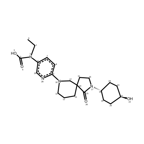 CCN(C(=O)O)c1ccc(N2CCCC3(CCN([C@H]4CC[C@H](O)CC4)C3=O)C2)nc1